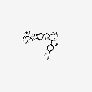 CC(Cc1ccc(OC(C)(C)C(=O)O)cc1)NC(=O)c1ccc(C(F)(F)F)cc1F